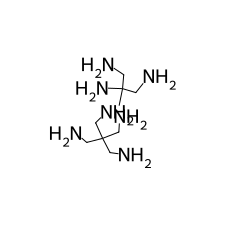 CC(N)(CN)CN.NCC(CN)(CN)CN